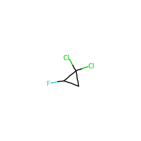 F[C]1CC1(Cl)Cl